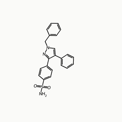 NS(=O)(=O)c1ccc(-c2nn(Cc3ccccc3)cc2-c2ccccc2)cc1